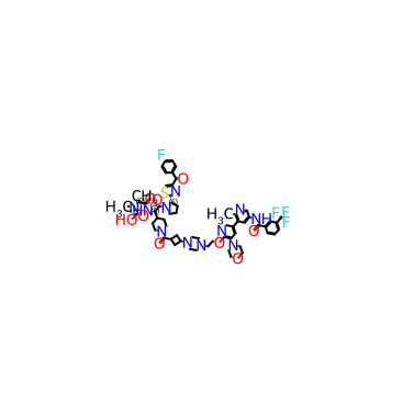 Cc1ncc(NC(=O)c2cccc(C(F)(F)F)c2)cc1-c1cnc(OCCN2CCN(C3CC(C(=O)N4CCC([C@H](NC(=O)[C@H](C)N(C)C(=O)O)C(=O)N5CCC[C@H]5c5nc(C(=O)c6ccc(F)cc6)cs5)CC4)C3)CC2)c(N2CCOCC2)c1